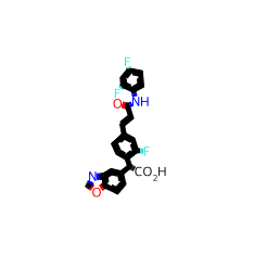 O=C(C=Cc1ccc(C(C(=O)O)c2ccc3ocnc3c2)c(F)c1)Nc1ccc(F)cc1F